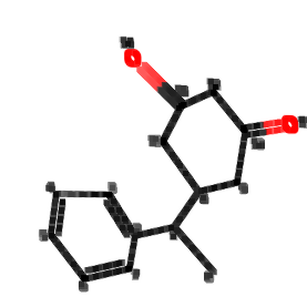 CC(c1ccccc1)C1CC(=O)CC(=O)C1